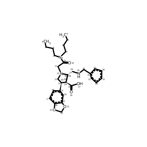 CCCCN(CCCC)C(=O)CN1C[C@H](c2ccc3c(c2)OCO3)[C@H](C(=O)O)[C@H]1CNCc1ccccc1